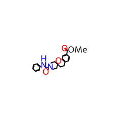 COC(=O)c1ccc2c(c1)OC1(CC2)CCN(C(=O)Nc2ccccc2)CC1